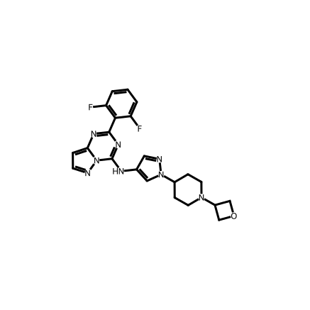 Fc1cccc(F)c1-c1nc(Nc2cnn(C3CCN(C4COC4)CC3)c2)n2nccc2n1